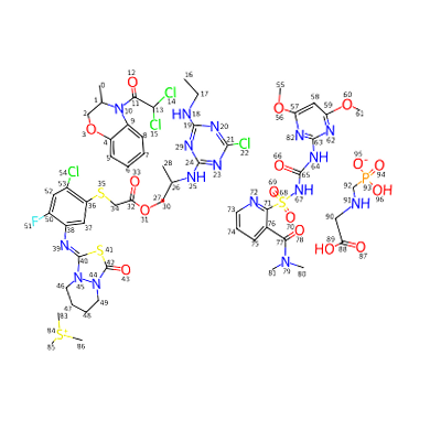 CC1COc2ccccc2N1C(=O)C(Cl)Cl.CCNc1nc(Cl)nc(NC(C)C)n1.COC(=O)CSc1cc(/N=c2\sc(=O)n3n2CCCC3)c(F)cc1Cl.COc1cc(OC)nc(NC(=O)NS(=O)(=O)c2ncccc2C(=O)N(C)C)n1.C[S+](C)C.O=C(O)CNCP(=O)([O-])O